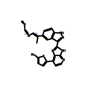 C=N/C=N\C=C(/C)c1ccc2[nH]nc(-c3nc4c(-c5ccc(C(C)=O)s5)ccnc4[nH]3)c2c1